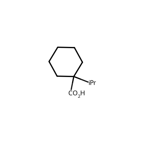 CC(C)C1(C(=O)O)CCCCC1